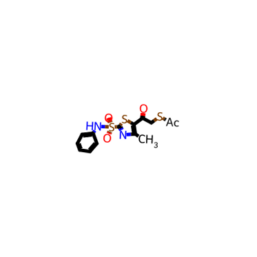 CC(=O)SCC(=O)c1sc(S(=O)(=O)Nc2ccccc2)nc1C